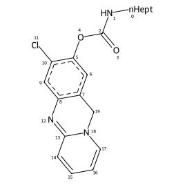 CCCCCCCNC(=O)Oc1cc2c(cc1Cl)N=C1C=CC=CN1C2